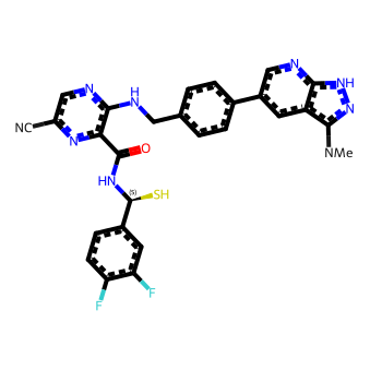 CNc1n[nH]c2ncc(-c3ccc(CNc4ncc(C#N)nc4C(=O)N[C@@H](S)c4ccc(F)c(F)c4)cc3)cc12